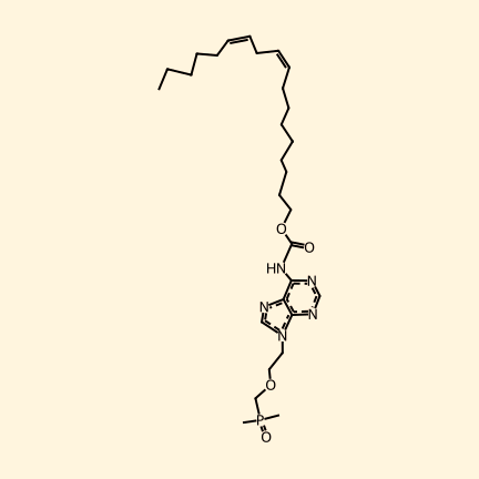 CCCCC/C=C\C/C=C\CCCCCCCCOC(=O)Nc1ncnc2c1ncn2CCOCP(C)(C)=O